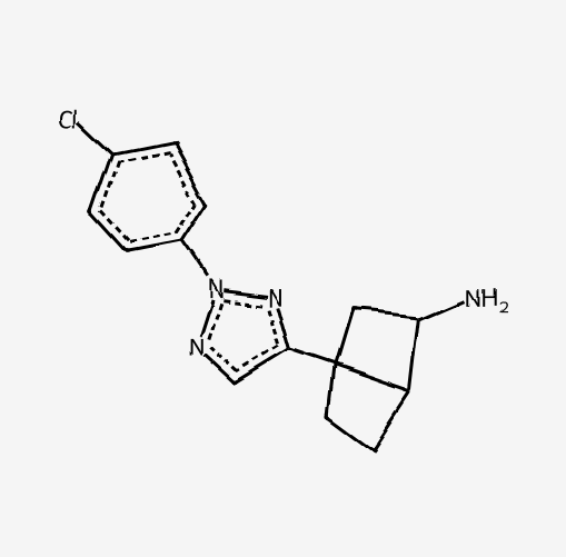 NC1CC2(c3cnn(-c4ccc(Cl)cc4)n3)CCC12